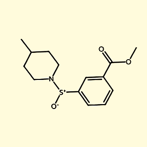 COC(=O)c1cccc([S+]([O-])N2CCC(C)CC2)c1